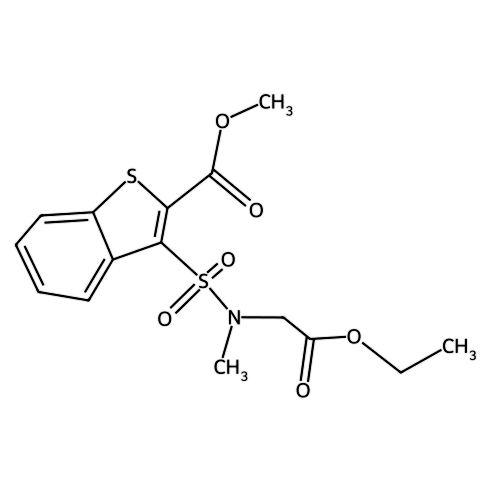 CCOC(=O)CN(C)S(=O)(=O)c1c(C(=O)OC)sc2ccccc12